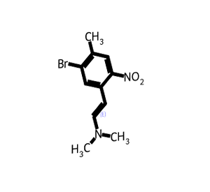 Cc1cc([N+](=O)[O-])c(/C=C/N(C)C)cc1Br